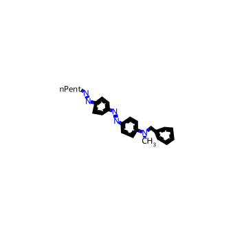 CCCCCN=Nc1ccc(/N=N/c2ccc(N(C)Cc3ccccc3)cc2)cc1